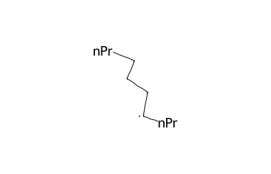 [CH2]CC[CH]CCCCC[CH2]